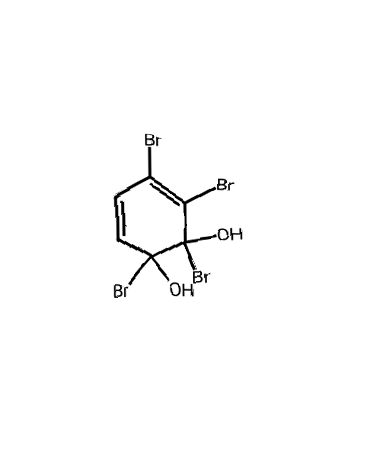 OC1(Br)C=CC(Br)=C(Br)C1(O)Br